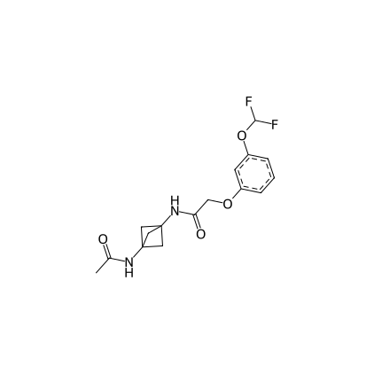 CC(=O)NC12CC(NC(=O)COc3cccc(OC(F)F)c3)(C1)C2